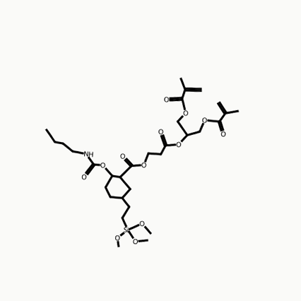 C=C(C)C(=O)OCC(COC(=O)C(=C)C)OC(=O)CCOC(=O)C1CC(CC[Si](OC)(OC)OC)CCC1OC(=O)NCCCC